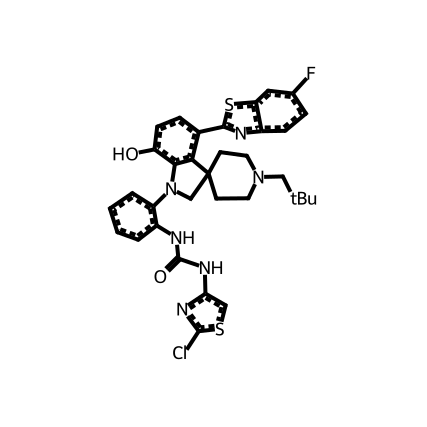 CC(C)(C)CN1CCC2(CC1)CN(c1ccccc1NC(=O)Nc1csc(Cl)n1)c1c(O)ccc(-c3nc4ccc(F)cc4s3)c12